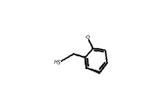 [O]c1ccccc1CS